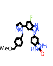 COCc1ccc(Cn2nccc2-c2cc(F)c3nnn(-c4ccc5[nH]c(=O)[nH]c5c4)c3c2)cc1